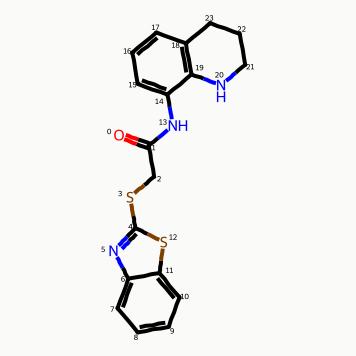 O=C(CSc1nc2ccccc2s1)Nc1cccc2c1NCCC2